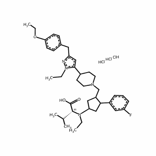 CCOc1ccc(Cc2cc(C3CCN(CC4CC(N(CC)[C@@H](C(=O)O)C(C)C)CC4c4cccc(F)c4)CC3)n(CC)n2)cc1.Cl.Cl.Cl